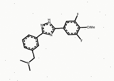 COc1c(F)cc(-c2nc(-c3cccc(CN(C)C)c3)n[nH]2)cc1F